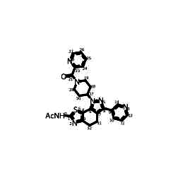 CC(=O)Nc1nc2c(s1)-c1c(c(-c3cccnc3)nn1C1CCN(C(=O)c3ccccn3)CC1)CC2